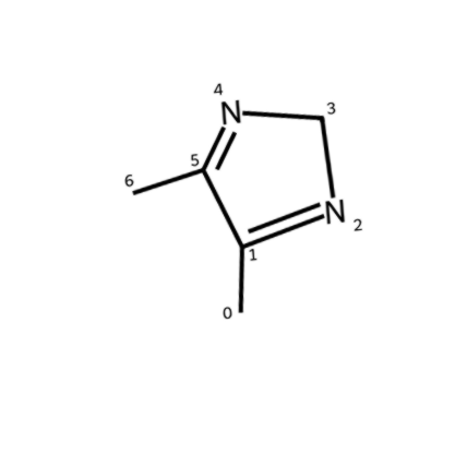 CC1=NCN=C1C